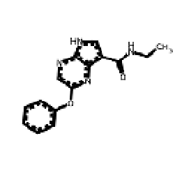 CCNC(=O)c1c[nH]c2ncc(Oc3ccccc3)nc12